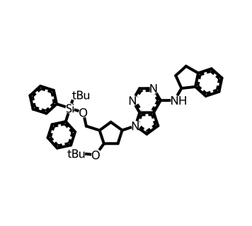 CC(C)(C)OC1CC(n2ccc3c(NC4CCc5ccccc54)ncnc32)CC1CO[Si](c1ccccc1)(c1ccccc1)C(C)(C)C